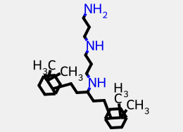 CC1(C)C2CCC(CC2)C1CCC(CCC1C2CCC(CC2)C1(C)C)NCCCNCCCN